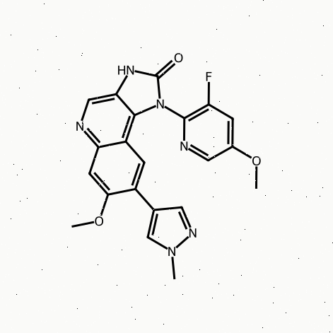 COc1cnc(-n2c(=O)[nH]c3cnc4cc(OC)c(-c5cnn(C)c5)cc4c32)c(F)c1